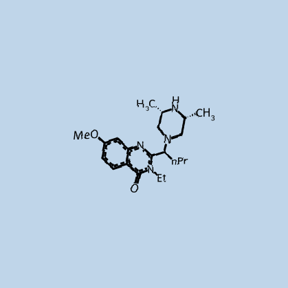 CCCC(c1nc2cc(OC)ccc2c(=O)n1CC)N1C[C@@H](C)N[C@@H](C)C1